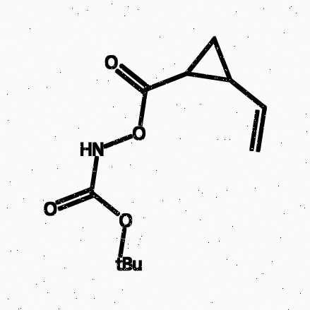 C=CC1CC1C(=O)ONC(=O)OC(C)(C)C